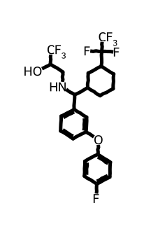 OC(CNC(c1cccc(Oc2ccc(F)cc2)c1)C1CCCC(C(F)(F)C(F)(F)F)C1)C(F)(F)F